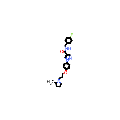 CC1CCCN1CCCOc1ccc(-n2cc(C(=O)NCc3ccc(F)cc3)cn2)cc1